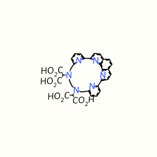 O=C(O)C(C(=O)O)N1CCN(C(C(=O)O)C(=O)O)Cc2cccc(n2)-c2ccc3ccc4ccc(nc4c3n2)-c2cccc(n2)C1